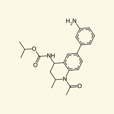 CC(=O)N1c2ccc(-c3cccc(N)c3)cc2C(NC(=O)OC(C)C)CC1C